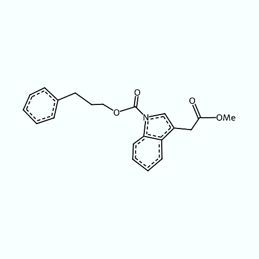 COC(=O)Cc1cn(C(=O)OCCCc2ccccc2)c2ccccc12